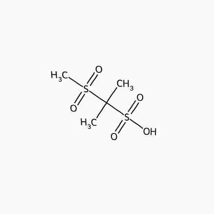 CC(C)(S(C)(=O)=O)S(=O)(=O)O